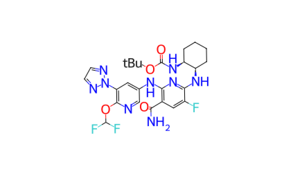 CC(C)(C)OC(=O)N[C@H]1CCCC[C@H]1Nc1nc(Nc2cnc(OC(F)F)c(-n3nccn3)c2)c(C(N)=O)cc1F